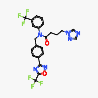 O=C(CCCn1cncn1)N(Cc1ccc(-c2noc(C(F)(F)F)n2)cc1)c1cccc(C(F)(F)F)c1